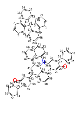 c1ccc(C(c2ccccc2)(c2ccccc2)c2ccc(-c3ccc(N(c4ccc5oc6ccccc6c5c4)c4ccc(-c5ccc6c(c5)oc5ccccc56)c5ccccc45)c4ccccc34)cc2)cc1